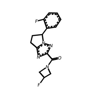 O=C(c1nc2n(n1)C(c1ccccc1F)CC2)N1CC(F)C1